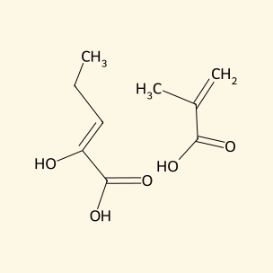 C=C(C)C(=O)O.CC/C=C(\O)C(=O)O